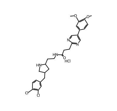 COc1ccc(-c2cnc(CCC(=O)NCCC3CC(Cc4ccc(Cl)c(Cl)c4)CN3)nc2)cc1OC.Cl